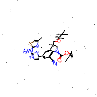 Cc1csc(Nc2nccc(-c3cc(C#N)c4c(c3)[C@@](C)(CO[Si](C)(C)C(C)(C)C)CN4C(=O)OC(C)(C)C)n2)n1